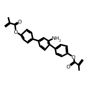 C=C(C)C(=O)Oc1ccc(-c2ccc(-c3ccc(OC(=O)C(=C)C)cc3)c(N)c2)cc1